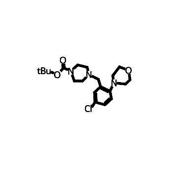 CC(C)(C)OC(=O)N1CCN(Cc2cc(Cl)ccc2N2CCOCC2)CC1